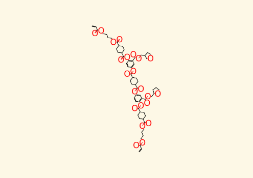 C=CC(=O)OCCCCOC(=O)C1CCC(C(=O)Oc2ccc(OC(=O)C3CCC(C(=O)Oc4ccc(OC(=O)C5CCC(C(=O)OCCCCOC(=O)C=C)CC5)c(C(=O)OCC5CCCO5)c4)CC3)cc2C(=O)OCC2CCOC2)CC1